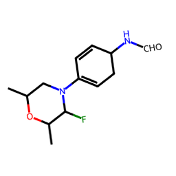 CC1CN(C2=CCC(NC=O)C=C2)C(F)C(C)O1